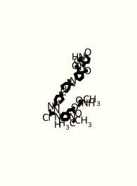 CNC(=O)COc1cc2cc(Nc3nc(N4CCC(F)(CN5CCC6(CC5)CN(c5ccc7c(c5)C(=O)N(C5CCC(=O)NC5=O)C7=O)C6)CC4)ncc3Cl)ccc2n(C(C)C)c1=O